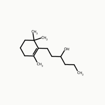 CCCC(O)CCC1=C(C)CCCC1(C)C